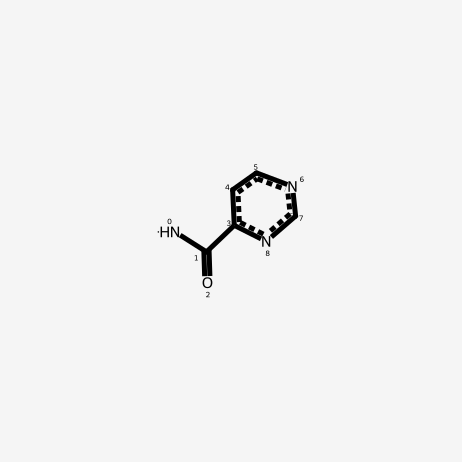 [NH]C(=O)c1ccncn1